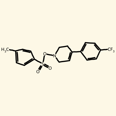 Cc1ccc(S(=O)(=O)ON2CC=C(c3ccc(C(F)(F)F)cc3)CC2)cc1